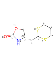 O=C1N[C@@H](CC2SCCCS2)CO1